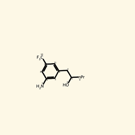 CCCC(O)Cc1cc(N)cc(C(F)(F)F)c1